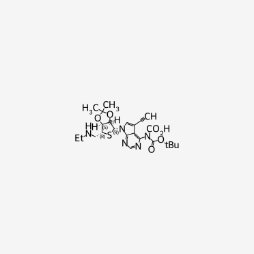 C#Cc1cn([C@@H]2S[C@H](CNCC)[C@H]3OC(C)(C)O[C@H]32)c2ncnc(N(C(=O)O)C(=O)OC(C)(C)C)c12